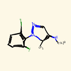 O=C(O)Nc1cnn(-c2c(F)cccc2F)c1C(F)(F)F